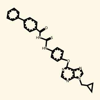 O=C(NC(=S)Nc1ccc(Oc2ncnc3c2ncn3CC2CC2)cc1)c1ccc(-c2ccccc2)cc1